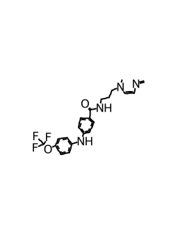 C=N/C=C\N(C)CCCNC(=O)c1ccc(Nc2ccc(OC(F)(F)F)cc2)cc1